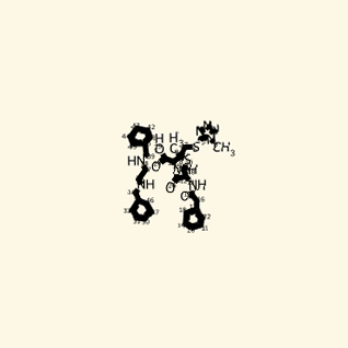 Cn1nnnc1SCC1(C)S[C@@H]2C(NC(=O)Cc3ccccc3)C(=O)N2C1C(=O)O.c1ccc(CNCCNCc2ccccc2)cc1